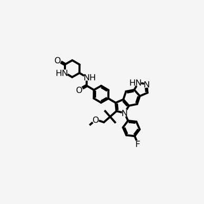 COCC(C)(C)c1c(-c2ccc(C(=O)NC3CCC(=O)NC3)cc2)c2cc3[nH]ncc3cc2n1-c1ccc(F)cc1